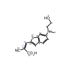 CN(CCO)c1ccc2cc(/C=C(/C#N)C(=O)O)sc2c1